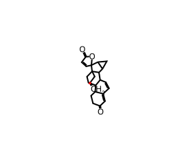 C=CCC12CCC3C4CCC(=O)C=C4C=CC3C1C1CC1C21C=CC(=O)O1